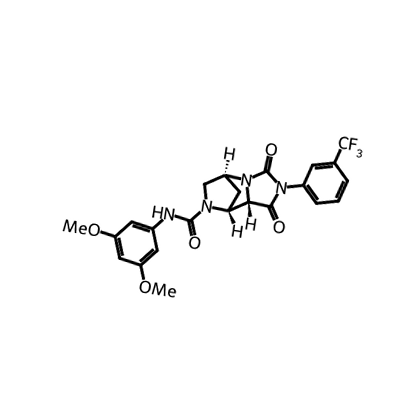 COc1cc(NC(=O)N2C[C@@H]3C[C@@H]2[C@H]2C(=O)N(c4cccc(C(F)(F)F)c4)C(=O)N32)cc(OC)c1